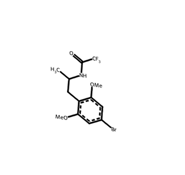 COc1cc(Br)cc(OC)c1CC(C)NC(=O)C(F)(F)F